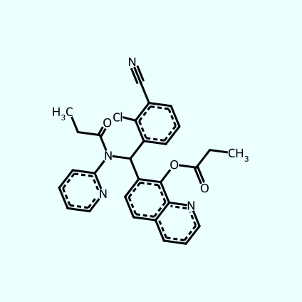 CCC(=O)Oc1c(C(c2cccc(C#N)c2Cl)N(C(=O)CC)c2ccccn2)ccc2cccnc12